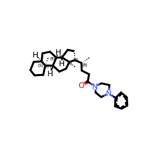 C[C@H](CCC(=O)N1CCN(c2ccccc2)CC1)[C@H]1CC[C@H]2[C@@H]3CC[C@@H]4CCCC[C@]4(C)[C@H]3CC[C@]12C